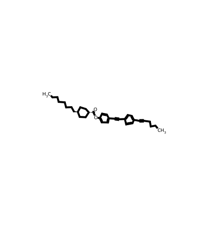 CCCCC#Cc1ccc(C#Cc2ccc(OC(=O)[C@H]3CC[C@H](CCCCCCCC)CC3)cc2)cc1